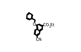 CCOC(=O)c1cc(OCc2ccccc2)c2ccc(C#N)cc2c1